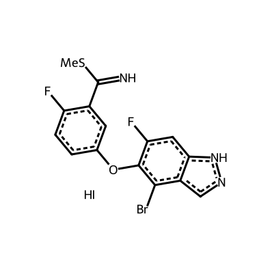 CSC(=N)c1cc(Oc2c(F)cc3[nH]ncc3c2Br)ccc1F.I